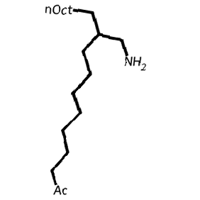 CCCCCCCCCC(CN)CCCCCCCC(C)=O